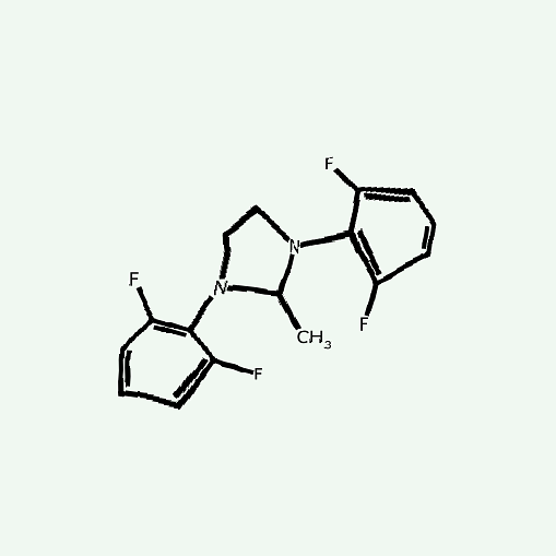 CC1N(c2c(F)cccc2F)CCN1c1c(F)cccc1F